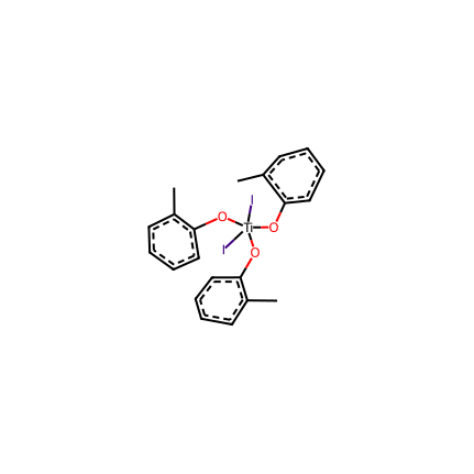 Cc1ccccc1[O][Ti]([I])([I])([O]c1ccccc1C)[O]c1ccccc1C